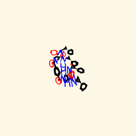 C[C@]1(C(=O)N[C@H]2C[C@@H]2c2ccccc2)CN(C(=O)c2ccc(C(=O)N3C[C@@H](C(=O)/N=C/C4C[C@@H]4c4ccccc4)[C@H](C(=O)N[C@H]4C[C@@H]4c4ccccc4)C3)cc2)C[C@H]1C(=O)N[C@H]1C[C@@H]1c1ccccc1